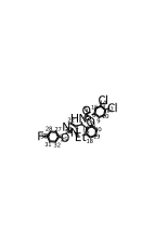 CCn1c(C(NS(=O)(=O)c2ccc(Cl)c(Cl)c2)c2ccccc2)cnc1Oc1ccc(F)cc1